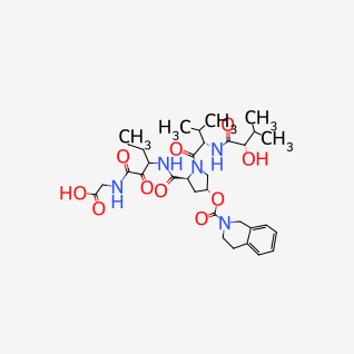 CCCC(NC(=O)[C@@H]1C[C@@H](OC(=O)N2CCc3ccccc3C2)CN1C(=O)[C@@H](NC(=O)[C@@H](O)C(C)C)C(C)C)C(=O)C(=O)NCC(=O)O